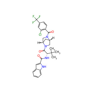 CC(C)(C)[C@H](NC(=O)c1cc2ccccc2[nH]1)C(=O)N1C[C@@H]2C[C@H]1CN2C(=O)c1ccc(C(F)(F)F)cc1Cl